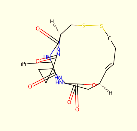 CC(C)C1NC(=O)[C@H]2CSSCC/C=C/[C@H](CC(=O)NC3(CC3)C(=O)N2)OC(=O)CNC1=O